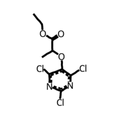 CCOC(=O)C(C)Oc1c(Cl)nc(Cl)nc1Cl